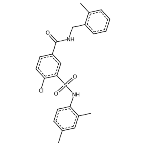 Cc1ccc(NS(=O)(=O)c2cc(C(=O)NCc3ccccc3C)ccc2Cl)c(C)c1